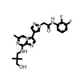 Cc1cn2c(-c3cnn(CC(=O)Nc4cccc(F)c4F)c3)cnc2c(NCC(C)(C)CO)n1